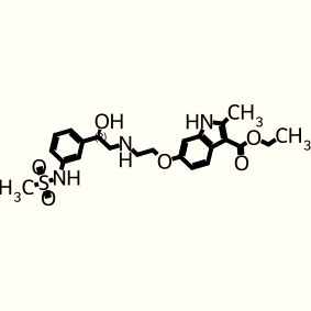 CCOC(=O)c1c(C)[nH]c2cc(OCCNC[C@H](O)c3cccc(NS(C)(=O)=O)c3)ccc12